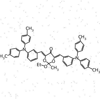 CCOC1(C)O/C(=C\c2cccc(N(c3ccc(C)cc3)c3ccc(C)cc3)c2)C(=O)/C(=C/c2cccc(N(c3ccc(C)cc3)c3ccc(C)cc3)c2)O1